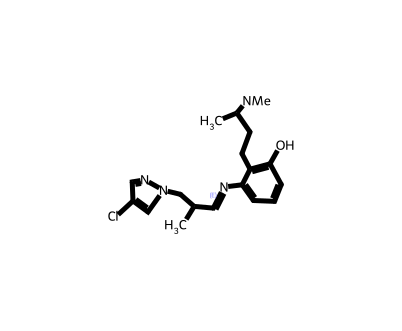 CNC(C)CCc1c(O)cccc1/N=C/C(C)Cn1cc(Cl)cn1